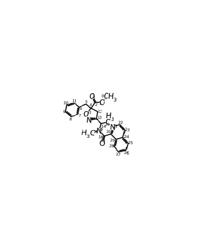 COC(=O)C1(Cc2ccccc2)CC(C(C)N(C)C(=O)c2nccc3ccccc23)=NO1